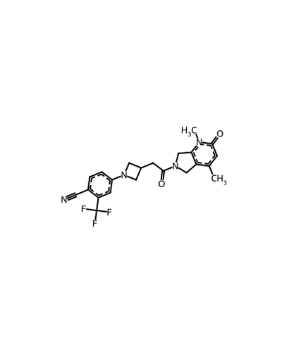 Cc1cc(=O)n(C)c2c1CN(C(=O)CC1CN(c3ccc(C#N)c(C(F)(F)F)c3)C1)C2